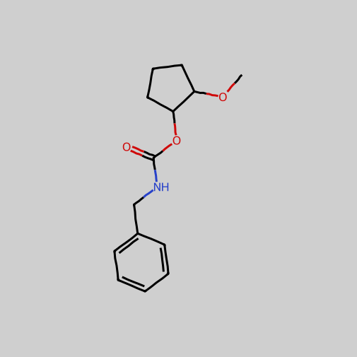 COC1CCCC1OC(=O)NCc1ccccc1